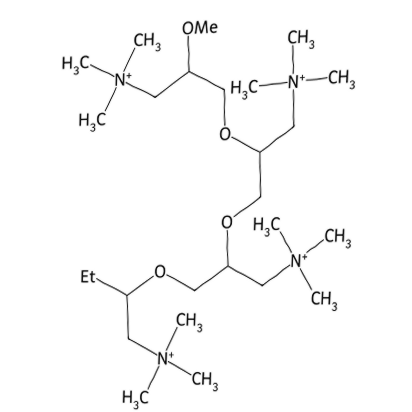 CCC(C[N+](C)(C)C)OCC(C[N+](C)(C)C)OCC(C[N+](C)(C)C)OCC(C[N+](C)(C)C)OC